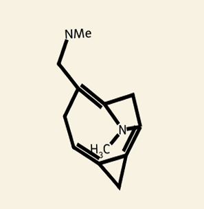 CNC/C1=C2\C/C(=C3/C/C3=C/C1)N2C